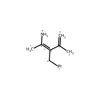 C=C(C)/C(CC(C)C)=C(/C)N